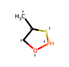 CC1COPS1